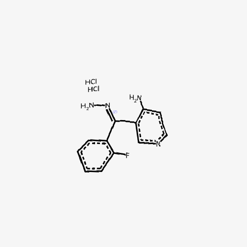 Cl.Cl.N/N=C(/c1cnccc1N)c1ccccc1F